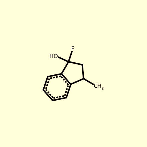 CC1CC(O)(F)c2ccccc21